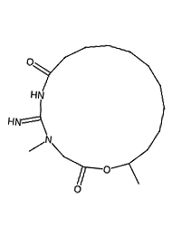 CC1CCCCCCCCCC(=O)NC(=N)N(C)CC(=O)O1